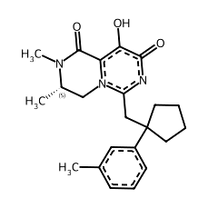 Cc1cccc(C2(Cc3nc(=O)c(O)c4n3C[C@H](C)N(C)C4=O)CCCC2)c1